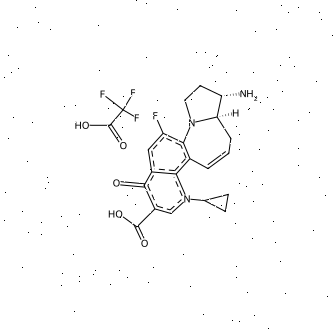 N[C@H]1CCN2c3c(F)cc4c(=O)c(C(=O)O)cn(C5CC5)c4c3C=CC[C@H]12.O=C(O)C(F)(F)F